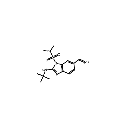 CC(C)S(=O)(=O)n1c(NC(C)(C)C)nc2ccc(C=N)cc21